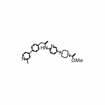 C=C(Cc1ccc(-c2ccnc(C)c2)cc1)Nc1ccc(N2CCN(C(=C)OC)CC2)cn1